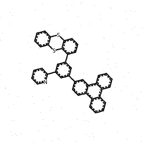 c1ccc(-c2cc(-c3ccc4c5ccccc5c5ccccc5c4c3)cc(-c3cccc4c3Sc3ccccc3S4)c2)nc1